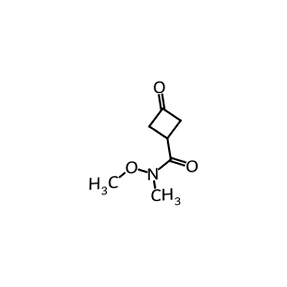 CON(C)C(=O)C1CC(=O)C1